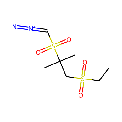 CCS(=O)(=O)CC(C)(C)S(=O)(=O)C=[N+]=[N-]